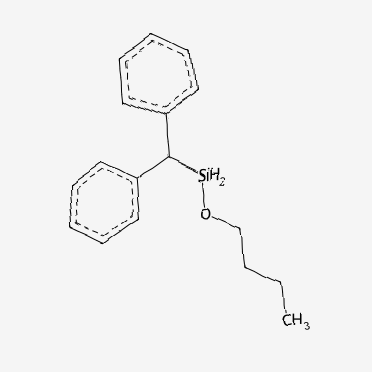 CCCCO[SiH2]C(c1ccccc1)c1ccccc1